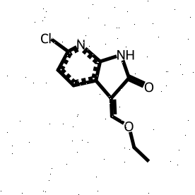 CCOC=C1C(=O)Nc2nc(Cl)ccc21